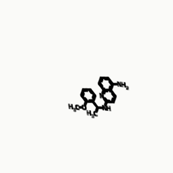 COc1ccccc1C(C)Nc1ccc2c(N)cccc2n1